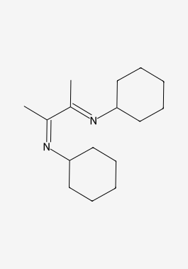 CC(=NC1CCCCC1)C(C)=NC1CCCCC1